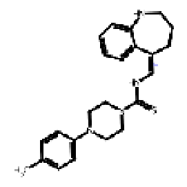 Cc1ccc(N2CCN(C(=S)N/C=C3/CCCNc4ccccc43)CC2)cc1